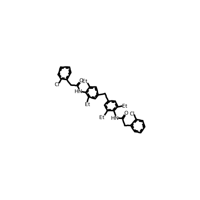 CCc1cc(Cc2cc(CC)c(NC(=O)Cc3ccccc3Cl)c(CC)c2)cc(CC)c1NC(=O)Cc1ccccc1Cl